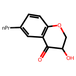 CCCc1ccc2c(c1)C(=O)C(O)CO2